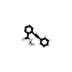 CC(C)(C)OC(=O)c1ccccc1C#Cc1ccccc1